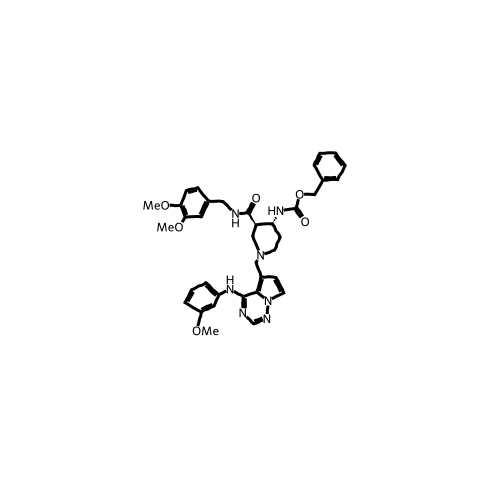 COc1cccc(Nc2ncnn3ccc(CN4CC[C@@H](NC(=O)OCc5ccccc5)[C@H](C(=O)NCc5ccc(OC)c(OC)c5)C4)c23)c1